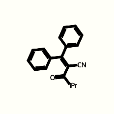 CC(C)C(=O)C(C#N)=C(c1ccccc1)c1ccccc1